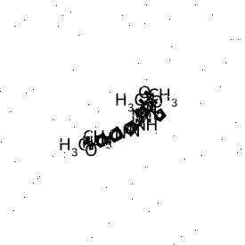 CC(=O)c1c(C)c2cnc(Nc3ccc(N4CCC(N5CCC(C(=O)N(C)C)CC5)CC4)cn3)nc2n(C2CCCC2)c1=O